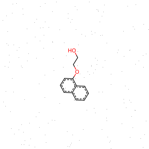 OCCOc1cccc2[c]cccc12